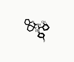 Cc1ccccc1/C(=N\c1ccc(F)cc1)N/C(=N/C1CCCCC1)C1(C)CCCCC1